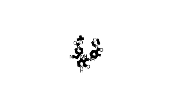 Cc1cc(Nc2nn(C3(CC#N)CCN(C(=O)OC(C)(C)C)CC3)c3cc[nH]c(=O)c23)ccc1C(=O)N1CCOCC1